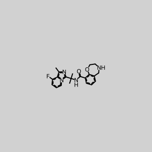 Cc1nc(C(C)(C)NC(=O)c2cccc3c2OCCNC3)n2cccc(F)c12